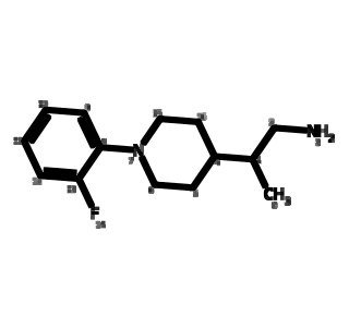 CC(CN)C1CCN(c2ccccc2F)CC1